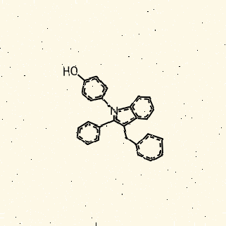 Oc1ccc(-n2c(-c3ccccc3)c(Cc3ccccc3)c3ccccc32)cc1